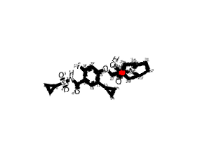 O=C(NS(=O)(=O)C1CC1)c1cc(C2CC2)c(OCC2CC3CCC(C2)N3C(=O)O)cc1F